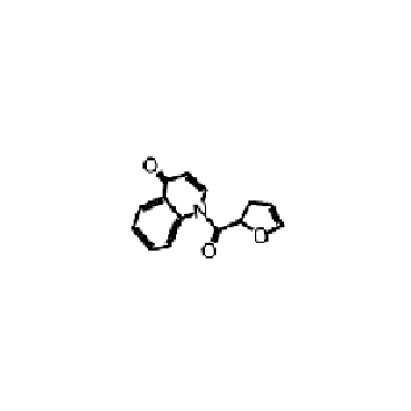 O=C(C1CC=CO1)n1ccc(=O)c2ccccc21